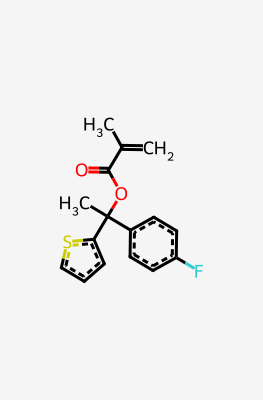 C=C(C)C(=O)OC(C)(c1ccc(F)cc1)c1cccs1